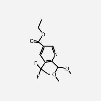 CCOC(=O)c1cnc(C(OC)OC)c(C(F)(F)F)c1